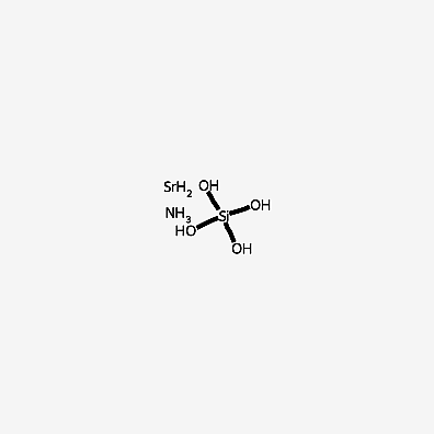 N.O[Si](O)(O)O.[SrH2]